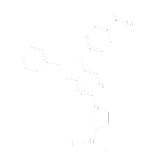 CN(C)C1CCN(c2ncc(Sc3ccc(C(N)=O)cc3)c(OCc3ccccc3)n2)C1